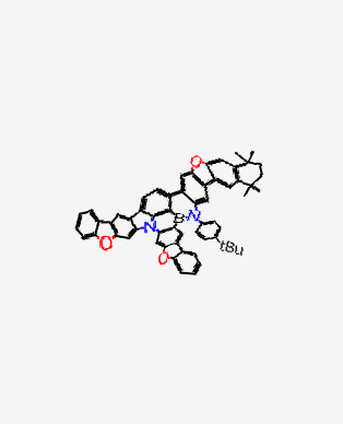 CC(C)(C)c1ccc(N2B3c4cc5c(cc4-n4c6cc7oc8ccccc8c7cc6c6ccc(c3c64)-c3cc4oc6cc7c(cc6c4cc32)C(C)(C)CCC7(C)C)oc2ccccc25)cc1